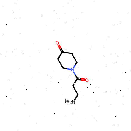 CNCCC(=O)N1CCC(=O)CC1